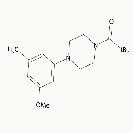 COc1cc(C)cc(N2CCN(C(=O)C(C)(C)C)CC2)c1